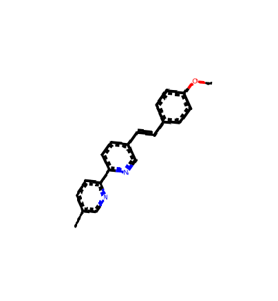 COc1ccc(C=Cc2ccc(-c3ccc(C)cn3)nc2)cc1